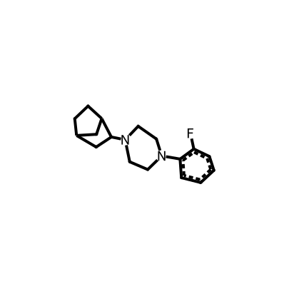 Fc1ccccc1N1CCN(C2CC3CCC2C3)CC1